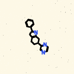 c1ccc(C2=NC3=C(CCC(c4cnccn4)C3)C2)cc1